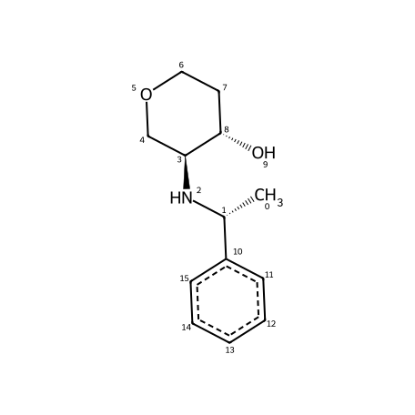 C[C@@H](N[C@H]1COCC[C@@H]1O)c1ccccc1